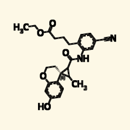 CCOC(=O)CCCc1ccc(C#N)cc1NC(=O)C1C(C)[C@]12CCOc1cc(O)ccc12